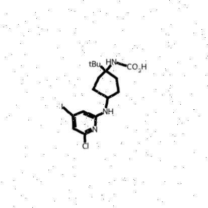 CC(C)(C)C1(NC(=O)O)CCC(Nc2cc(I)cc(Cl)n2)CC1